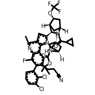 Cc1nc2c(F)c(-c3cccc(Cl)c3Cl)c(CCC#N)cc2c2c1cc([C@H]1[C@H]3C[C@H](C[C@@H]3OC(F)(F)F)N1C(=O)C1CC1)n2[C@H]1[C@@H]2C[C@H]1N(C(=O)OC(C)(C)C)C2